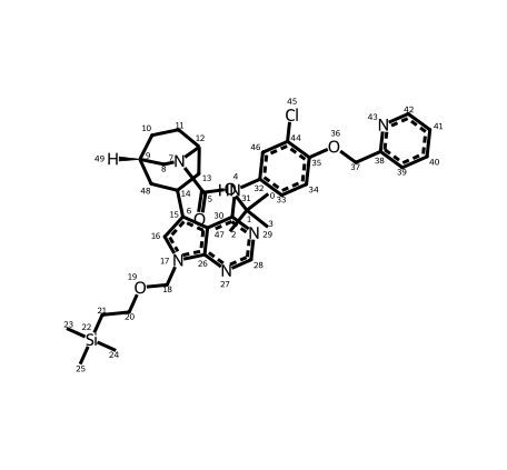 CC(C)(C)OC(=O)N1C[C@H]2CCC1CC(c1cn(COCC[Si](C)(C)C)c3ncnc(Nc4ccc(OCc5ccccn5)c(Cl)c4)c13)C2